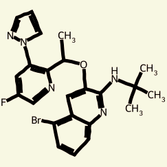 CC(Oc1cc2c(Br)cccc2nc1NC(C)(C)C)c1ncc(F)cc1-n1cccn1